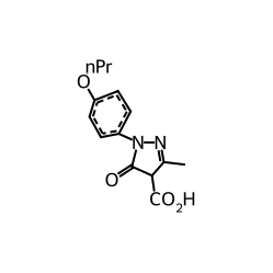 CCCOc1ccc(N2N=C(C)C(C(=O)O)C2=O)cc1